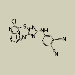 N#Cc1ccc(Nc2nc(N)n(Sc3c(Cl)nc4sccn34)n2)cc1C#N